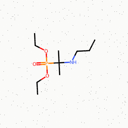 CCCNC(C)(C)P(=O)(OCC)OCC